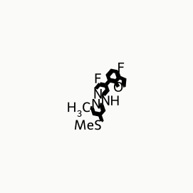 CSCc1cc(C)nc(Nc2cc(-c3ccc(F)c4ccoc34)c(F)cn2)c1